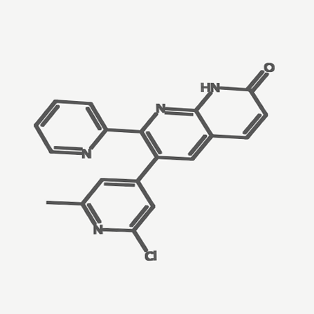 Cc1cc(-c2cc3ccc(=O)[nH]c3nc2-c2ccccn2)cc(Cl)n1